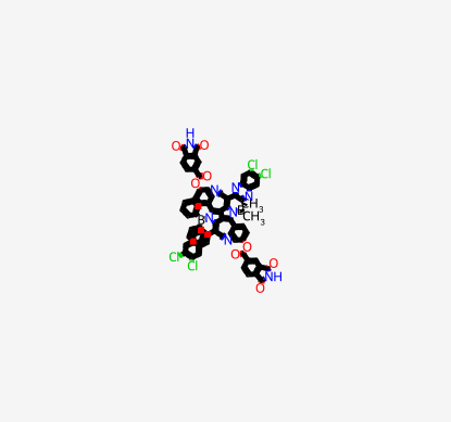 CB(C)n1c(-c2ccc(OC(=O)c3ccc4c(c3)C(=O)NC4=O)cc2)c2/c(=C(\C#N)c3ccc4cc(Cl)c(Cl)cc4c3)n(B(c3ccccc3)c3ccccc3)c(-c3ccc(OC(=O)c4ccc5c(c4)C(=O)NC5=O)cc3)c2/c1=C(\C#N)c1cnc2cc(Cl)c(Cl)cc2n1